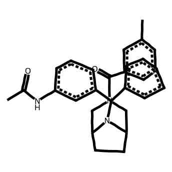 CC(=O)Nc1cccc(C(c2ccccc2)N2C3CCC2CN(C(=O)c2cncc(C)c2)C3)c1